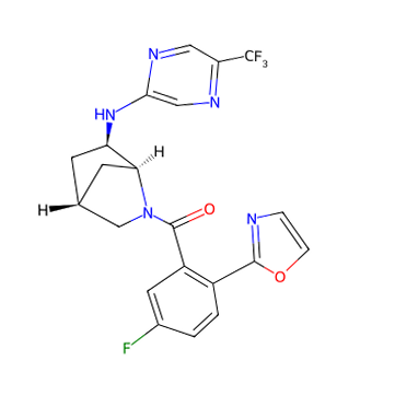 O=C(c1cc(F)ccc1-c1ncco1)N1C[C@@H]2C[C@@H](Nc3cnc(C(F)(F)F)cn3)[C@@H]1C2